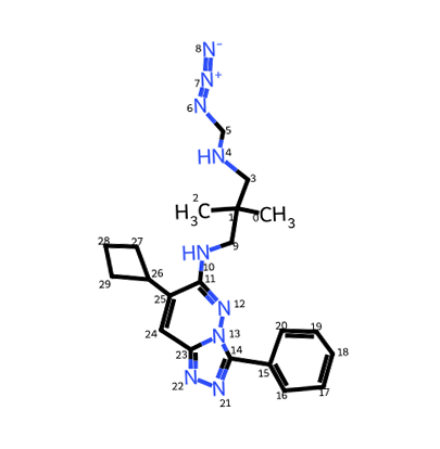 CC(C)(CNCN=[N+]=[N-])CNc1nn2c(-c3ccccc3)nnc2cc1C1CCC1